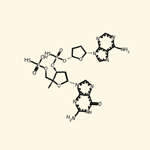 CC1(COP(=O)(O)S)O[C@@H](n2cnc3c(=O)[nH]c(N)nc32)C[C@@H]1OP(=O)(S)O[C@@H]1CC[C@H](n2cnc3c(N)ncnc32)O1